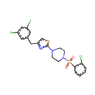 O=S(=O)(c1ccccc1Cl)N1CCN(c2nc(Cc3cc(F)cc(F)c3)cs2)CC1